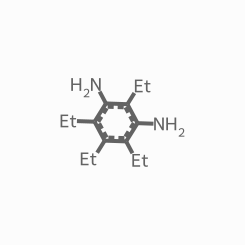 CCc1c(N)c(CC)c(CC)c(CC)c1N